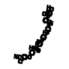 N#Cc1ccc(O[C@H]2CC[C@H](NC(=O)c3ccc(N4CCC(F)(CN5CCC(n6ncc7c(N8CCC(=O)NC8=O)cccc76)CC5)CC4)nn3)CC2)cc1Cl